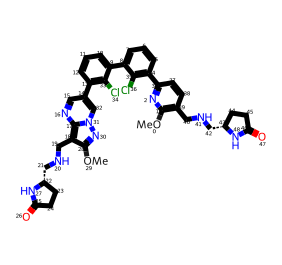 COc1nc(-c2cccc(-c3cccc(-c4cnc5c(CNC[C@@H]6CCC(=O)N6)c(OC)nn5c4)c3Cl)c2Cl)ccc1CNC[C@@H]1CCC(=O)N1